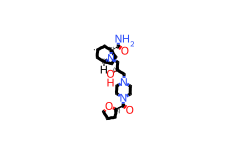 NC(=O)[C@]12C[CH]C[C@H](CC1)N2C[C@@H](O)CN1CCN(C(=O)[C@H]2CCCO2)CC1